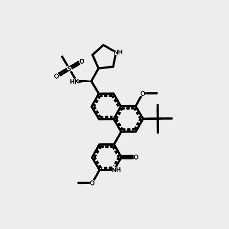 COc1ccc(-c2cc(C(C)(C)C)c(OC)c3cc([C@@H](NS(C)(=O)=O)C4CCNC4)ccc23)c(=O)[nH]1